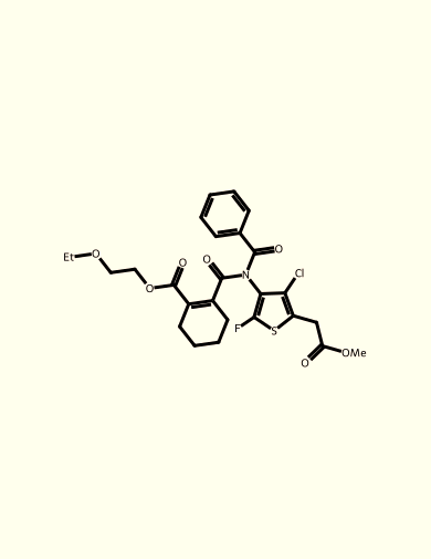 CCOCCOC(=O)C1=C(C(=O)N(C(=O)c2ccccc2)c2c(F)sc(CC(=O)OC)c2Cl)CCCC1